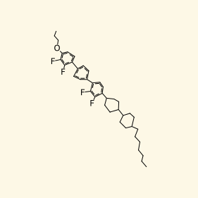 CCCCCCCC1CCC(C2CCC(c3ccc(-c4ccc(-c5ccc(OCCC)c(F)c5F)cc4)c(F)c3F)CC2)CC1